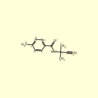 C#CC(C)(C)NC(=O)c1ccc(C)nn1